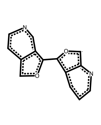 [c]1oc(-c2occ3ccncc23)c2cccnc12